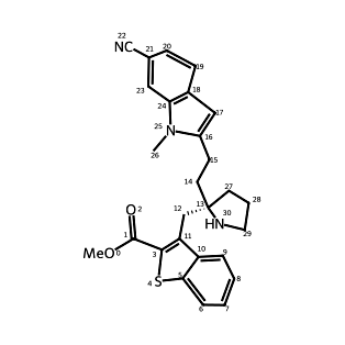 COC(=O)c1sc2ccccc2c1C[C@]1(CCc2cc3ccc(C#N)cc3n2C)CCCN1